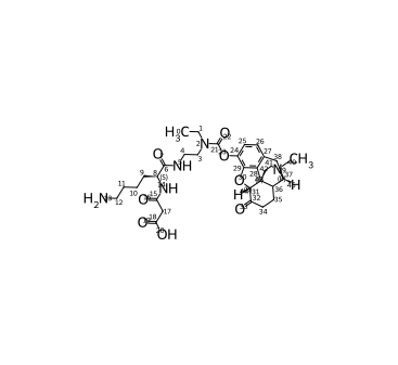 CCN(CCNC(=O)[C@H](CCCCN)NC(=O)CC(=O)O)C(=O)Oc1ccc2c3c1O[C@H]1C(=O)CCC4[C@@H](C2)N(C)CC[C@@]341